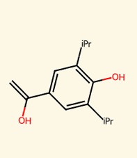 C=C(O)c1cc(C(C)C)c(O)c(C(C)C)c1